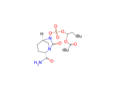 CC(C)(C)CC(OC(=O)C(C)(C)C)OS(=O)(=O)ON1C(=O)N2C[C@H]1CC[C@H]2C(N)=O